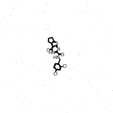 O=C(NCc1ccc(Cl)cc1Cl)c1nc2sc3c(c2c(=O)[nH]1)CCC3